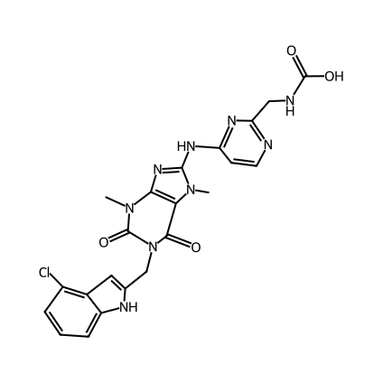 Cn1c(Nc2ccnc(CNC(=O)O)n2)nc2c1c(=O)n(Cc1cc3c(Cl)cccc3[nH]1)c(=O)n2C